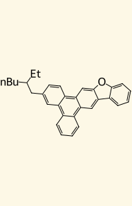 CCCCC(CC)Cc1ccc2c(c1)c1ccccc1c1cc3c(cc21)oc1ccccc13